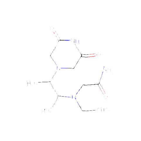 CC(C(C)N1CC(=O)NC(=O)C1)N(CC=O)CC(N)=O